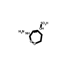 C1=CCOOCC1.N.N.O=S(=O)(O)O